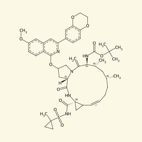 C=C1[C@@H](NC(=O)OC(C)(C)C)[C@H](C)C[C@H](C)CC/C=C\C2C[C@@]2(C(=O)NS(=O)(=O)C2(C)CC2)NC(=O)[C@@H]2CC(Oc3nc(-c4ccc5c(c4)OCCO5)cc4cc(OC)ccc34)CN12